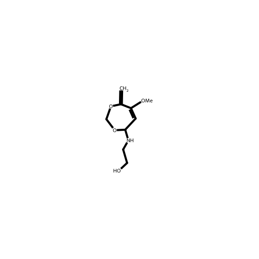 C=C1OCOC(NCCO)C=C1OC